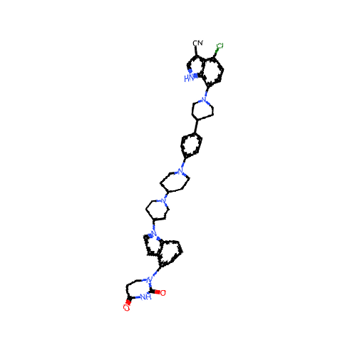 N#Cc1c[nH]c2c(N3CCC(c4ccc(N5CCC(N6CCC(n7ccc8c(N9CCC(=O)NC9=O)cccc87)CC6)CC5)cc4)CC3)ccc(Cl)c12